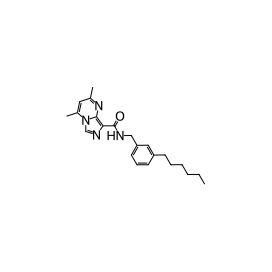 CCCCCCc1cccc(CNC(=O)c2ncn3c(C)cc(C)nc23)c1